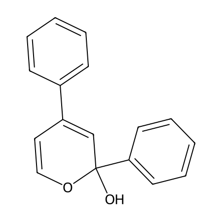 OC1(c2ccccc2)C=C(c2ccccc2)C=CO1